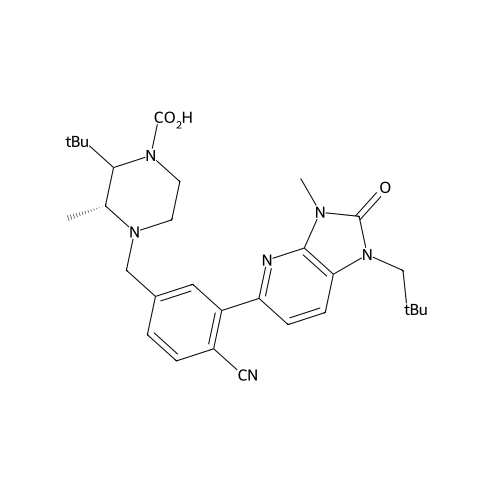 C[C@@H]1C(C(C)(C)C)N(C(=O)O)CCN1Cc1ccc(C#N)c(-c2ccc3c(n2)n(C)c(=O)n3CC(C)(C)C)c1